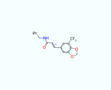 CC(C)CNC(=O)/C=C/c1cc2c(c(C(F)(F)F)c1)OCO2